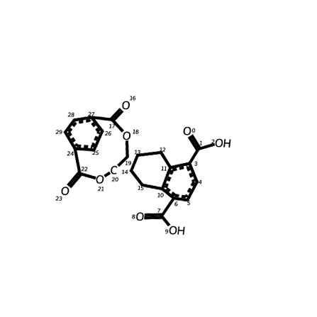 O=C(O)c1ccc(C(=O)O)c2c1CCCC2.O=C1OCCOC(=O)c2ccc1cc2